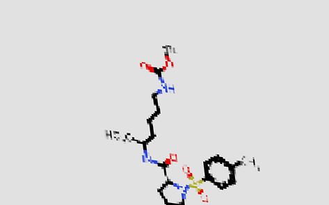 Cc1ccc(S(=O)(=O)N2CCC[C@H]2C(=O)N[C@H](CCCCNC(=O)OC(C)(C)C)C(=O)O)cc1